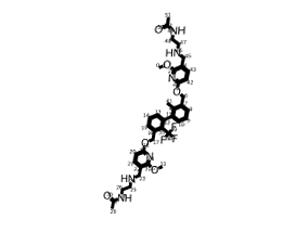 COc1nc(OCc2cccc(-c3cccc(COc4ccc(CNCCNC(C)=O)c(OC)n4)c3C(F)(F)F)c2C)ccc1CNCCNC(C)=O